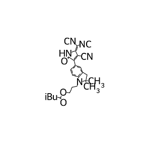 [C-]#[N+]C([N+]#[C-])=C1NC(=O)C(c2ccc3c(c2)CC(C)(C)N3CCCOC(=O)C(C)CC)=C1C#N